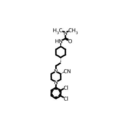 CN(C)C(=O)N[C@H]1CC[C@H](CCN2CCN(c3cccc(Cl)c3Cl)C[C@H]2C#N)CC1